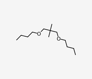 CCCCOCC(C)(C)COCCCC